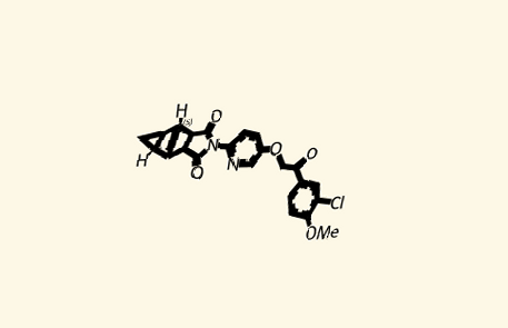 COc1ccc(C(=O)COc2ccc(N3C(=O)C4C(C3=O)[C@@H]3C=CC4[C@H]4CC34)nc2)cc1Cl